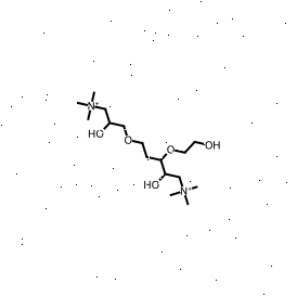 C[N+](C)(C)CC(O)COCCC(OCCO)C(O)C[N+](C)(C)C